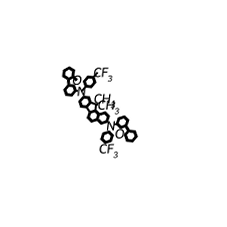 CC1(C)c2cc(N(c3ccc(C(F)(F)F)cc3)c3cccc4c3oc3ccccc34)ccc2-c2ccc3cc(N(c4ccc(C(F)(F)F)cc4)c4cccc5c4oc4ccccc45)ccc3c21